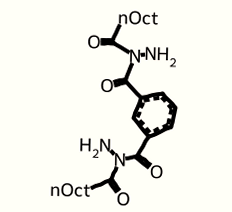 CCCCCCCCC(=O)N(N)C(=O)c1cccc(C(=O)N(N)C(=O)CCCCCCCC)c1